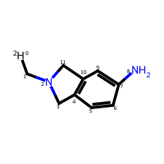 [2H]CN1Cc2ccc(N)cc2C1